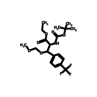 CCOC(=O)C(NC(=O)OC(C)(C)C)C(OCOC)c1ccc(C(F)(F)F)cc1